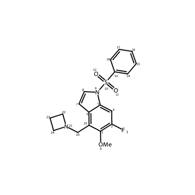 COc1c(F)cc2c(ccn2S(=O)(=O)c2ccccc2)c1CN1CCC1